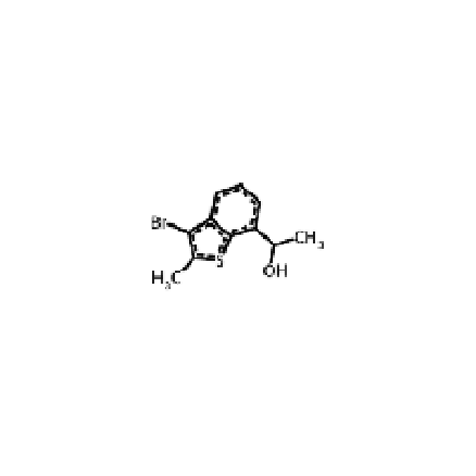 Cc1sc2c(C(C)O)cccc2c1Br